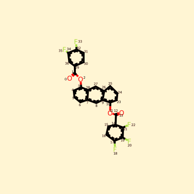 O=C(Oc1cccc2cc3c(OC(=O)c4ccc(F)c(F)c4F)cccc3cc12)c1ccc(F)c(F)c1